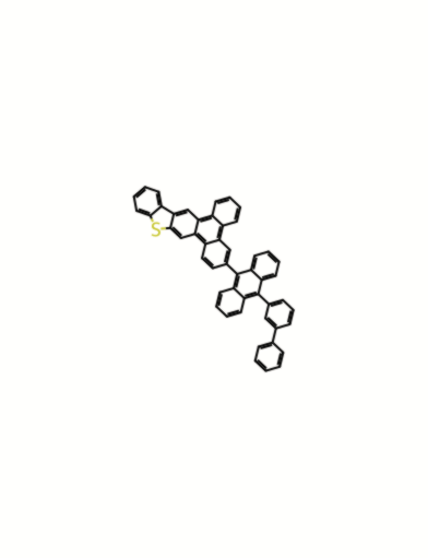 c1ccc(-c2cccc(-c3c4ccccc4c(-c4ccc5c(c4)c4ccccc4c4cc6c(cc54)sc4ccccc46)c4ccccc34)c2)cc1